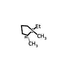 CCS1(C)CCC[C@H]1C